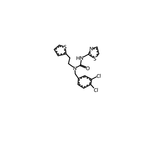 O=C(Nc1nccs1)N(CCc1cccs1)Cc1ccc(Cl)c(Cl)c1